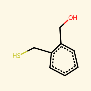 OCc1ccccc1CS